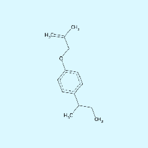 C=C(C)COc1ccc(C(C)CC)cc1